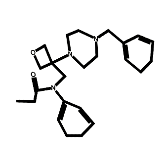 CCC(=O)N(CC1(N2CCN(CC3=CCCC=C3)CC2)COC1)C1=CCCC=C1